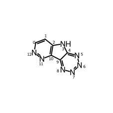 c1cc2[nH]c3nnnnc3c2nn1